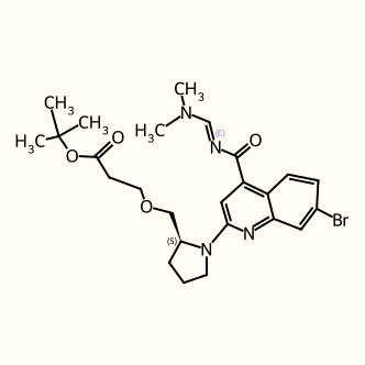 CN(C)/C=N/C(=O)c1cc(N2CCC[C@H]2COCCC(=O)OC(C)(C)C)nc2cc(Br)ccc12